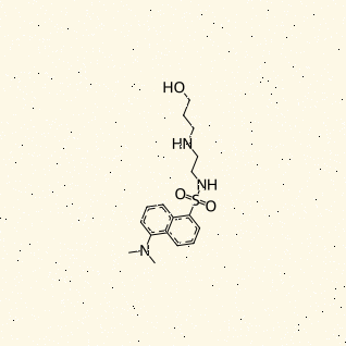 CN(C)c1cccc2c(S(=O)(=O)NCCNCCCO)cccc12